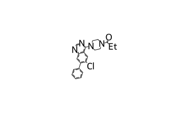 CCC(=O)N1CCN(c2ncnc3cc(-c4ccccc4)c(Cl)cc23)CC1